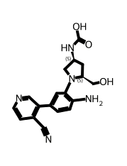 N#Cc1ccncc1-c1ccc(N)c(N2C[C@@H](NC(=O)O)C[C@H]2CO)c1